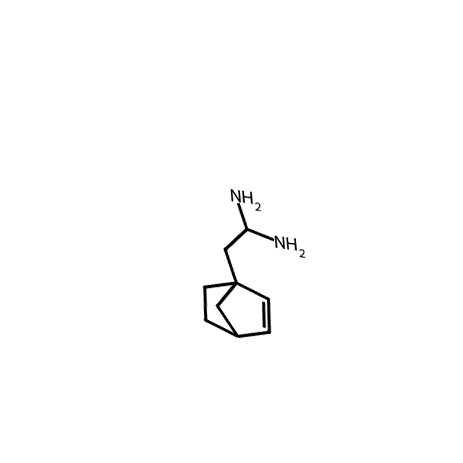 NC(N)CC12C=CC(CC1)C2